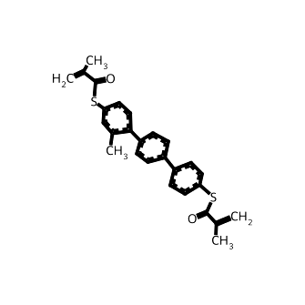 C=C(C)C(=O)Sc1ccc(-c2ccc(-c3ccc(SC(=O)C(=C)C)cc3C)cc2)cc1